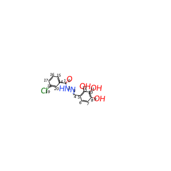 O=C(N/N=C/c1ccc(O)c(O)c1O)c1cccc(Cl)c1